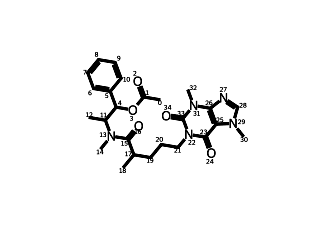 CC(=O)OC(c1ccccc1)C(C)N(C)C(=O)C(C)CCCn1c(=O)c2c(ncn2C)n(C)c1=O